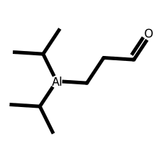 C[CH](C)[Al]([CH2]CC=O)[CH](C)C